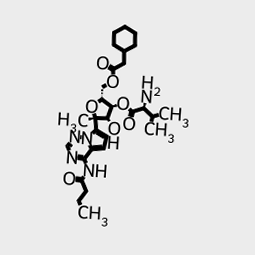 CCCC(=O)Nc1ncnn2c([C@]3(C)O[C@H](COC(=O)CC4CCCCC4)[C@@H](OC(=O)[C@@H](N)C(C)C)[C@H]3O)ccc12